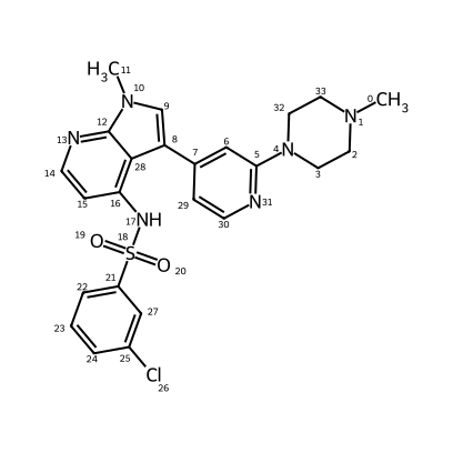 CN1CCN(c2cc(-c3cn(C)c4nccc(NS(=O)(=O)c5cccc(Cl)c5)c34)ccn2)CC1